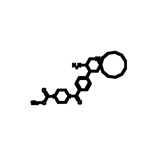 CC(C)(C)OC(=O)N1CCN(C(=O)c2ccc(C3CC4(CCCCCCCCCC4)NCC3N)cc2)CC1